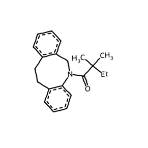 CCC(C)(C)C(=O)N1Cc2ccccc2CCc2ccccc21